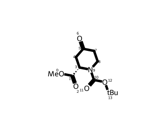 COC(=O)[C@@H]1CC(=O)CCN1C(=O)OC(C)(C)C